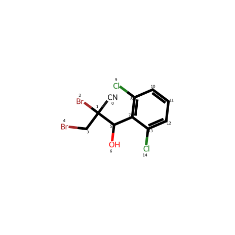 N#CC(Br)(CBr)C(O)c1c(Cl)cccc1Cl